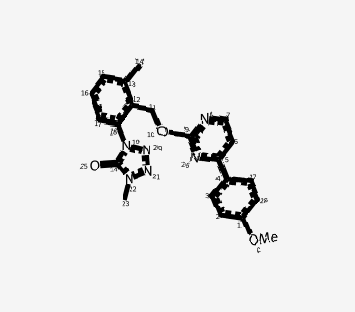 COc1ccc(-c2ccnc(OCc3c(C)cccc3-n3nnn(C)c3=O)n2)cc1